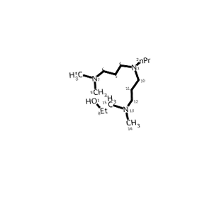 CCO.C[CH]CN(CCCN(C)C)CCCN(C)C